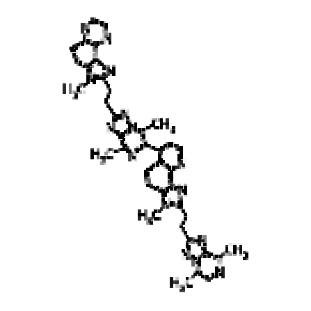 Cc1ncc(C)n2nc(CCc3nc4c5nccc(-c6nc(C)c7nc(CCc8nc9c%10nccnc%10ccc9n8C)nn7c6C)c5ccc4n3C)nc12